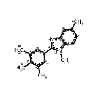 Cc1ccc2c(c1)nc(-c1cc(C)c(C)c(C)c1)n2C